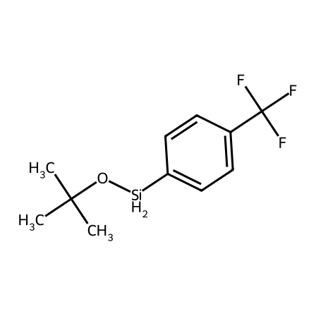 CC(C)(C)O[SiH2]c1ccc(C(F)(F)F)cc1